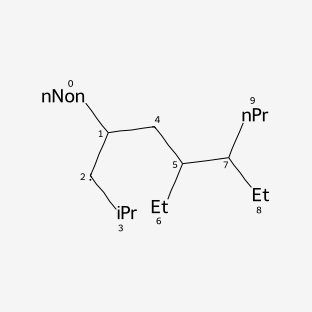 CCCCCCCCCC([CH]C(C)C)CC(CC)C(CC)CCC